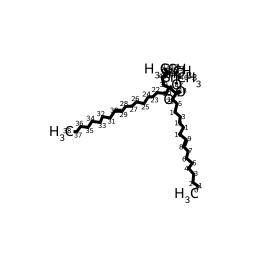 CCCCCCCCC=CCCCCCCCC(=O)C1(C(=O)CCCCCCCC=CCCCCCCCC)C[CH2][Sn]([CH3])([CH3])[Sn]([CH3])([CH3])[O]1